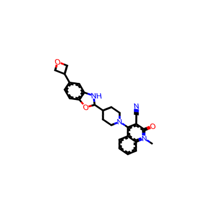 Cn1c(=O)c(C#N)c(N2CCC(C3Nc4cc(C5COC5)ccc4O3)CC2)c2ccccc21